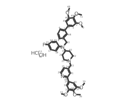 COc1cc(-c2cccc(CN(c3ccc(F)cc3)C3CCN(Cc4ccnc(-c5cc(OC)c(OC)c(OC)c5)c4)CC3)c2)cc(OC)c1OC.Cl.Cl